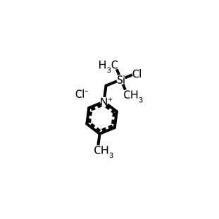 Cc1cc[n+](C[Si](C)(C)Cl)cc1.[Cl-]